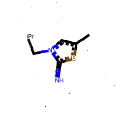 Cc1cn(CC(C)C)c(=N)s1